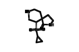 O=C1NCCC12CCNCC2S(=O)(=O)C1CC1